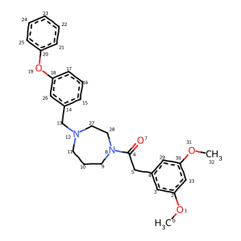 COc1cc(CC(=O)N2CCCN(Cc3cccc(Oc4ccccc4)c3)CC2)cc(OC)c1